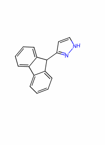 c1ccc2c(c1)-c1ccccc1C2c1cc[nH]n1